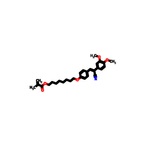 C=C(C)C(=O)OCCCCCCCCOc1ccc(/C=C(\C#N)c2ccc(OC)c(OC)c2)cc1